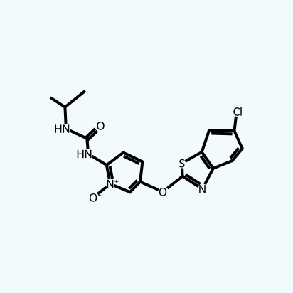 CC(C)NC(=O)Nc1ccc(Oc2nc3ccc(Cl)cc3s2)c[n+]1[O-]